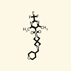 Cc1nc(C(F)(F)F)nc(C)c1S(=O)(=O)N1CC2(CN(CC3CCOCC3)C2)C1